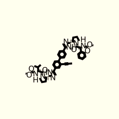 CC#Cc1cc(-c2cnc([C@@H]3CCCN3C(=O)[C@@H](NC(=O)OC)C(C)C)[nH]2)ccc1-c1ccc(-c2cnc([C@@H]3CCCN3C(=O)[C@H](NC(=O)OC)c3ccccc3)[nH]2)cc1